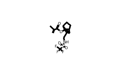 C=C(C)C(=O)OC12C3CCC1C(C3)C2CNS(=O)(=O)C(F)(F)F